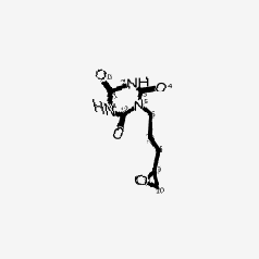 O=c1[nH]c(=O)n(CCCC2CO2)c(=O)[nH]1